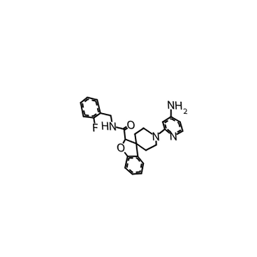 Nc1ccnc(N2CCC3(CC2)c2ccccc2OC3C(=O)NCc2ccccc2F)c1